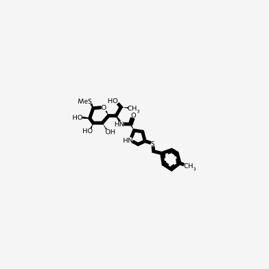 CS[C@H]1O[C@H]([C@H](NC(=O)[C@@H]2CC(SCc3ccc(C)cc3)CN2)[C@@H](C)O)[C@H](O)[C@H](O)[C@H]1O